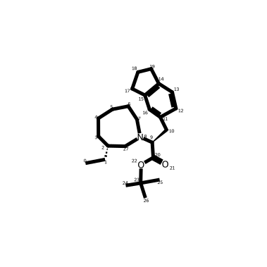 CC[C@@H]1CCCCCN([C@@H](Cc2ccc3c(c2)CCC3)C(=O)OC(C)(C)C)C1